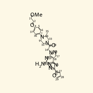 COCCOc1ccc(N2CCN(C(=O)Cn3ncc4c3nc(N)n3nc(-c5ccco5)nc43)CC2C)cc1